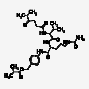 CC(C)C(=O)CCC(=O)NC(C(=O)NC(CCCNC(N)=O)C(=O)Nc1ccc(COC(=O)C(C)C)cc1)C(C)C